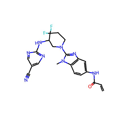 C=CC(=O)Nc1ccc2c(c1)nc(N1CCC(F)(F)C(Nc3ncc(C#N)cn3)C1)n2C